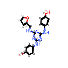 Oc1ccc(Nc2nc(NCc3ccco3)nc(Nc3ccc(Br)cc3)n2)cc1